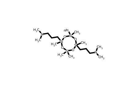 CCC[Si]1(C)O[Si](C)(CCCN(C)C)O[Si](C)(C)O[Si](C)(CCCN(C)C)O1